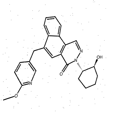 COc1ccc(Cc2cc3c(=O)n([C@H]4CCCC[C@@H]4O)ncc3c3ccccc23)cn1